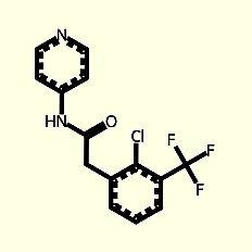 O=C(Cc1cccc(C(F)(F)F)c1Cl)Nc1ccncc1